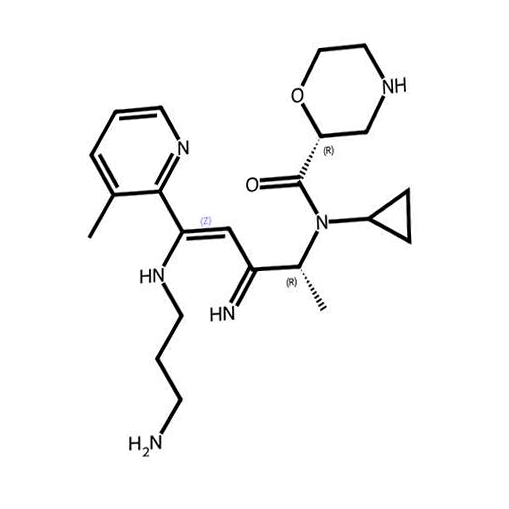 Cc1cccnc1/C(=C/C(=N)[C@@H](C)N(C(=O)[C@H]1CNCCO1)C1CC1)NCCCN